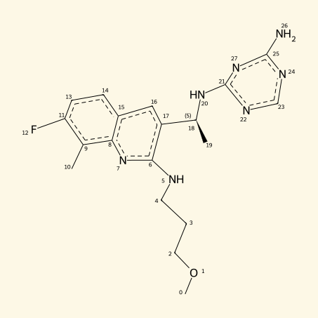 COCCCNc1nc2c(C)c(F)ccc2cc1[C@H](C)Nc1ncnc(N)n1